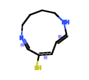 SC1=C/C=C/NCCCC/N=C\1